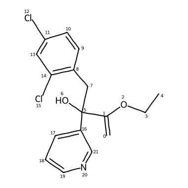 C=C(OCC)C(O)(Cc1ccc(Cl)cc1Cl)c1cccnc1